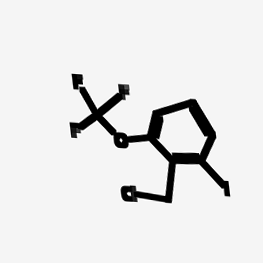 FC(F)(F)Oc1cccc(I)c1CCl